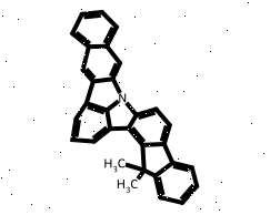 CC1(C)c2ccccc2-c2ccc3c(c21)c1cccc2c4cc5ccccc5cc4n3c21